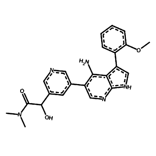 COc1ccccc1-c1c[nH]c2ncc(-c3cncc(C(O)C(=O)N(C)C)c3)c(N)c12